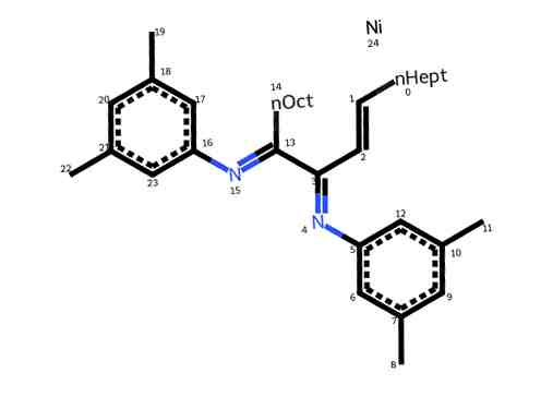 CCCCCCC/C=C/C(=N\c1cc(C)cc(C)c1)C(/CCCCCCCC)=N/c1cc(C)cc(C)c1.[Ni]